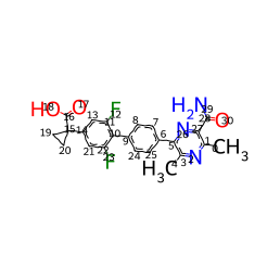 Cc1nc(C)c(-c2ccc(-c3c(F)cc(C4(C(=O)O)CC4)cc3F)cc2)nc1C(N)=O